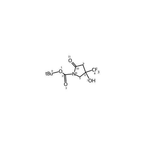 CC(C)(C)OC(=O)N1CC(O)(C(F)(F)F)CC1=O